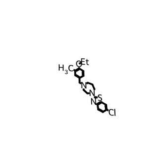 CCOc1ccc(CN2CCCN(c3nc4ccc(Cl)cc4s3)CC2)cc1C